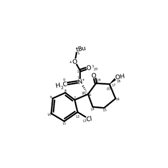 C=[N+](C(=O)OC(C)(C)C)[C@@]1(c2ccccc2Cl)CCC[C@H](O)C1=O